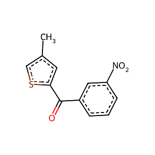 Cc1csc(C(=O)c2cccc([N+](=O)[O-])c2)c1